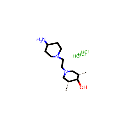 C[C@@H]1CN(CCN2CCC(N)CC2)C[C@H](C)C1O.Cl.Cl.Cl